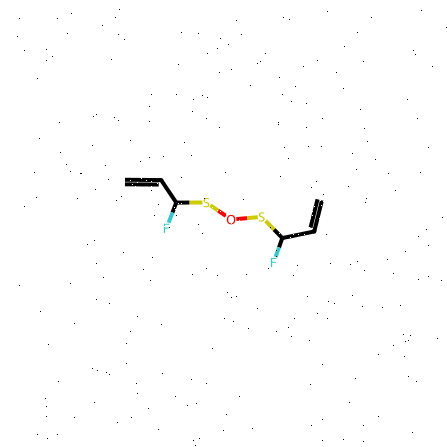 C=CC(F)SOSC(F)C=C